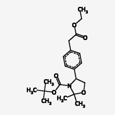 CCOC(=O)Cc1ccc(C2COC(C)(C)N2C(=O)OC(C)(C)C)cc1